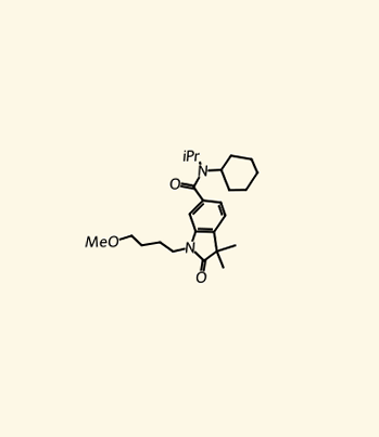 COCCCCN1C(=O)C(C)(C)c2ccc(C(=O)N(C(C)C)C3CCCCC3)cc21